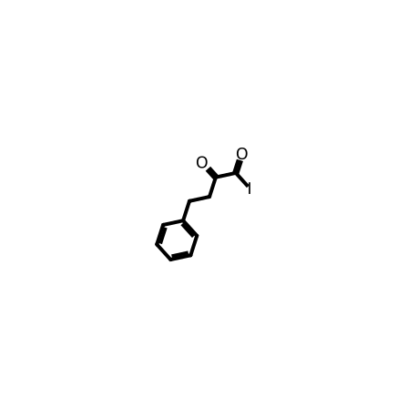 O=C(I)C(=O)CCc1ccccc1